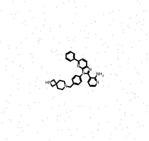 Nc1ncccc1-c1nc2ccc(-c3ccccc3)nc2n1-c1ccc(CN2CCC3(CC2)CNC3)cc1